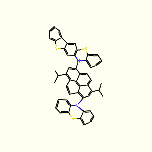 CC(C)c1cc(N2c3ccccc3Sc3ccccc32)c2ccc3c(C(C)C)cc(N4c5ccccc5Sc5cc6c(cc54)sc4ccccc46)c4ccc1c2c34